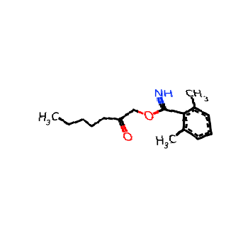 CCCCCC(=O)COC(=N)c1c(C)cccc1C